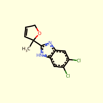 CC1(c2nc3cc(Cl)c(Cl)cc3[nH]2)C=CCO1